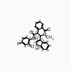 CN1C(=O)c2ccccc2C(C(=O)Nc2ccc(F)cc2Cl)C1c1c[nH]c2ccccc12